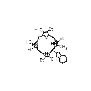 CCC1=C(C)c2cc3[nH]c(cc4nc(c(-c5cc6cccccc-6c5)c5[nH]c(cc1n2)c(CC)c5C)C(C)=C4CC)c(CC)c3C